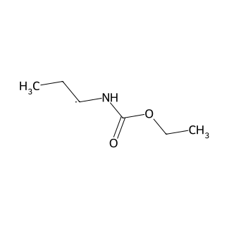 CC[CH]NC(=O)OCC